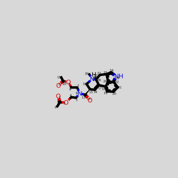 CC(=O)OCCN(CCOC(C)=O)C(=O)[C@@H]1C=C2c3cccc4[nH]cc(c34)C[C@H]2N(C)C1